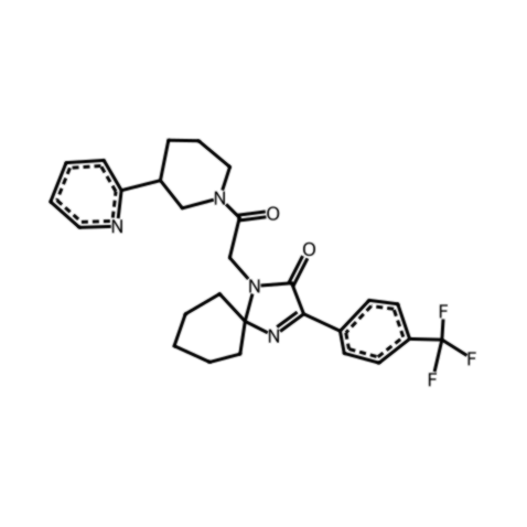 O=C(CN1C(=O)C(c2ccc(C(F)(F)F)cc2)=NC12CCCCC2)N1CCCC(c2ccccn2)C1